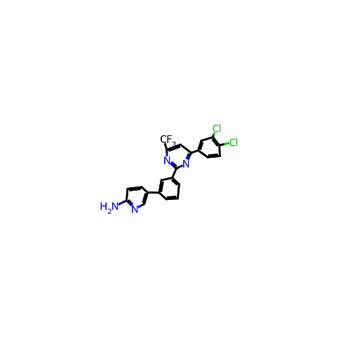 Nc1ccc(-c2cccc(-c3nc(-c4ccc(Cl)c(Cl)c4)cc(C(F)(F)F)n3)c2)cn1